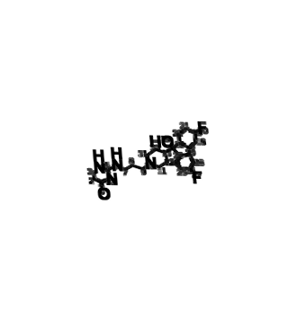 O=c1cc[nH]c(NCCCN2CCC(C(O)(c3ccc(F)cc3)c3ccc(F)cc3)CC2)n1